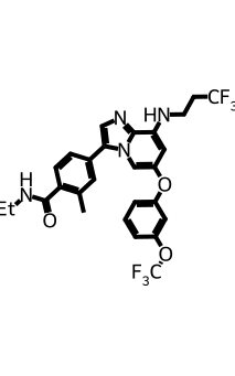 CCNC(=O)c1ccc(-c2cnc3c(NCCC(F)(F)F)cc(Oc4cccc(OC(F)(F)F)c4)cn23)cc1C